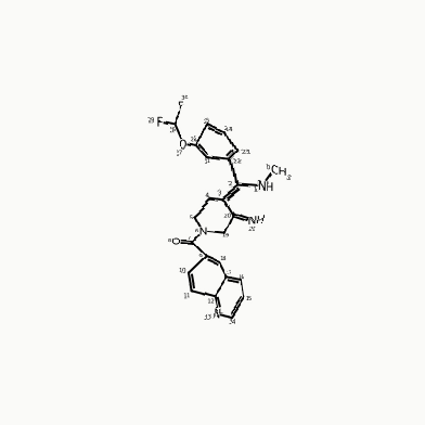 CN/C(=C1/CCN(C(=O)c2ccc3ncccc3c2)CC1=N)c1cccc(OC(F)F)c1